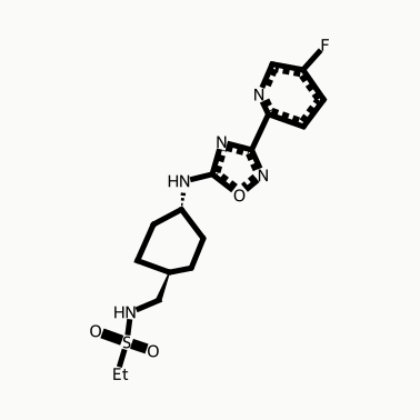 CCS(=O)(=O)NC[C@H]1CC[C@H](Nc2nc(-c3ccc(F)cn3)no2)CC1